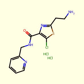 Cl.Cl.NCCc1nc(C(=O)NCc2ccccn2)c(Cl)s1